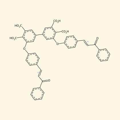 O=C(/C=C/c1ccc(Oc2cc(-c3cc(Oc4ccc(/C=C/C(=O)c5ccccc5)cc4)c(C(=O)O)c(C(=O)O)c3)cc(C(=O)O)c2C(=O)O)cc1)c1ccccc1